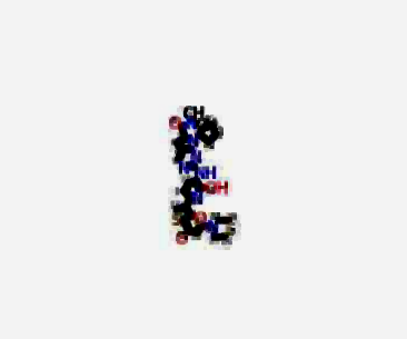 CN(C)C(=O)c1cc2cnc(Nc3ccc(-c4csc5c(=O)cc(N6CCSCC6)oc45)nc3O)nc2n1C1CCCC1